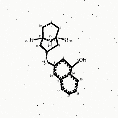 Oc1cc(OC2C[C@H]3CCC[C@@H](C2)N3)cc2ccccc12